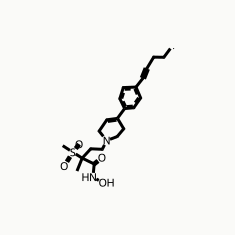 [CH2]CCC#Cc1ccc(C2=CCN(CCC(C)(C(=O)NO)S(C)(=O)=O)CC2)cc1